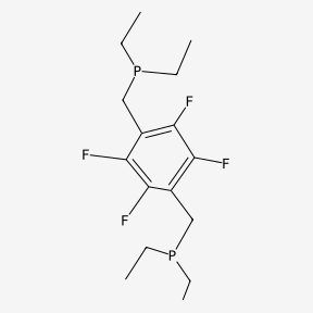 CCP(CC)Cc1c(F)c(F)c(CP(CC)CC)c(F)c1F